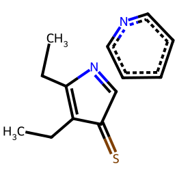 CCC1=C(CC)C(=S)C=N1.c1ccncc1